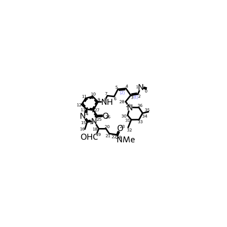 C=N/C=C(\C=C/CCNc1cccc2nc(C)n(C(C=O)CCC(=O)NC)c(=O)c12)CN1CC(C)CC(C)C1